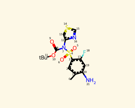 Cc1cc(S(=O)(=O)N(C(=O)OC(C)(C)C)c2cscn2)c(F)cc1N